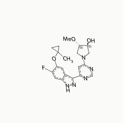 CO[C@H]1CN(c2cc(-c3n[nH]c4cc(F)c(OC5(C)CC5)cc34)ncn2)C[C@@H]1O